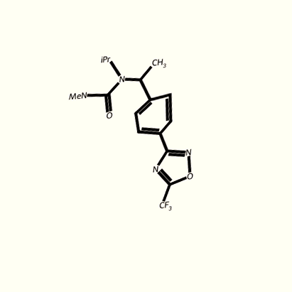 CNC(=O)N(C(C)C)C(C)c1ccc(-c2noc(C(F)(F)F)n2)cc1